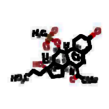 COC(=O)[C@@H]1CC2=CC(=O)CC[C@]2(C)[C@@H]2[C@@H]1[C@@H]1CC[C@](O)(CCC(=O)O)[C@@]1(C)C[C@H]2OS(C)(=O)=O